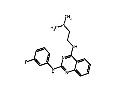 CN(C)CCNc1nc(Nc2cccc(F)c2)nc2ccccc12